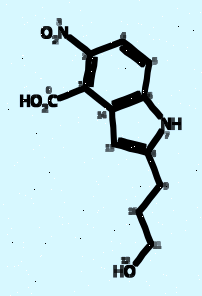 O=C(O)c1c([N+](=O)[O-])ccc2[nH]c(CCCO)cc12